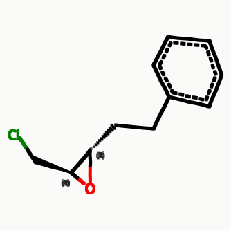 ClC[C@@H]1O[C@H]1CCc1ccccc1